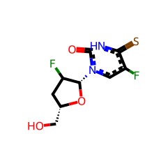 O=c1[nH]c(=S)c(F)cn1[C@@H]1O[C@H](CO)CC1F